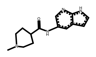 CN1CCC(C(=O)Nc2cnc3[nH]ccc3c2)CC1